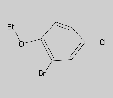 CCOc1ccc(Cl)cc1Br